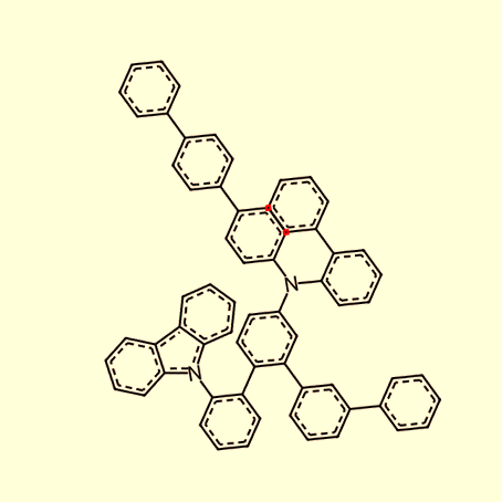 c1ccc(-c2ccc(-c3ccc(N(c4ccc(-c5ccccc5-n5c6ccccc6c6ccccc65)c(-c5cccc(-c6ccccc6)c5)c4)c4ccccc4-c4ccccc4)cc3)cc2)cc1